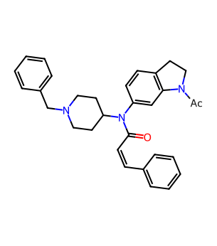 CC(=O)N1CCc2ccc(N(C(=O)/C=C\c3ccccc3)C3CCN(Cc4ccccc4)CC3)cc21